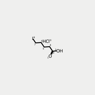 Cl.O=C(O)CCCCI